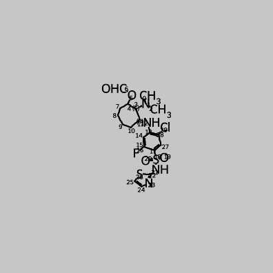 CN(C)[C@@H]1C(OC=O)CCCC[C@H]1Nc1cc(F)c(S(=O)(=O)Nc2nccs2)cc1Cl